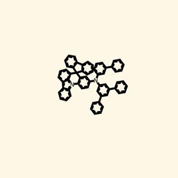 c1ccc(-c2cccc(N(c3cc(-c4ccccc4)cc(-c4ccccc4)c3)c3ccc4c(c3)C3(c5ccccc5-c5ccccc53)c3cccc5c6ccccc6n-4c35)c2)cc1